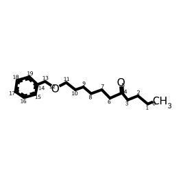 CCCCC(=O)CCCCCCOCc1ccccc1